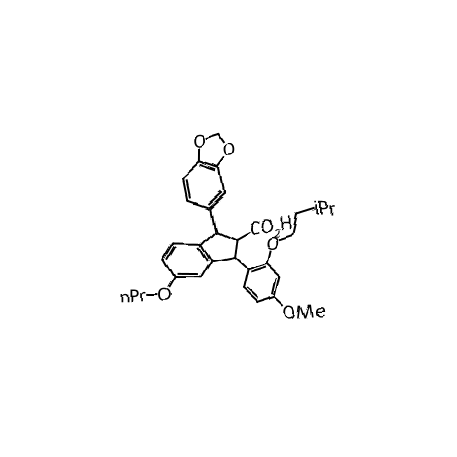 CCCOc1ccc2c(c1)C(c1ccc(OC)cc1OCCC(C)C)C(C(=O)O)C2c1ccc2c(c1)OCO2